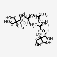 C=C(C)C(=O)O.C=C(C)C(=O)O.C=C(C)C(=O)O.CC(CO)(CO)CO.CCC(CO)(CO)CO